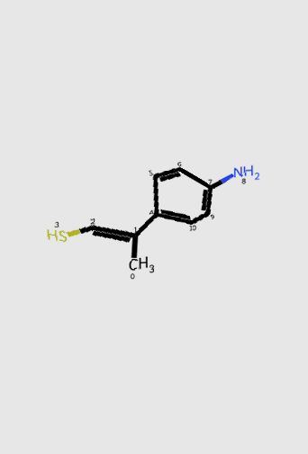 C/C(=C\S)c1ccc(N)cc1